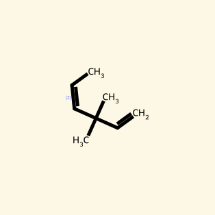 C=CC(C)(C)/C=C\C